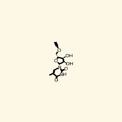 C#COC[C@H]1O[C@@H](n2cc(C)c(=O)[nH]c2=O)[C@H](O)[C@@H]1O